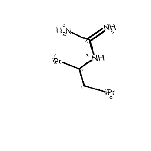 CC(C)CC(NC(=N)N)C(C)C